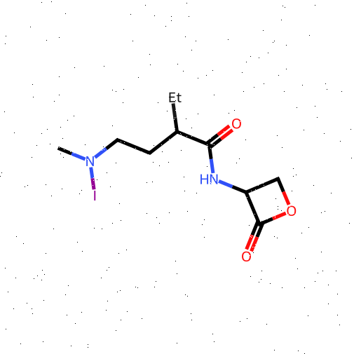 CCC(CCN(C)I)C(=O)NC1COC1=O